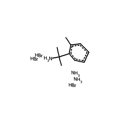 Br.Br.Br.Cc1ccccc1C(C)(C)N.N.N